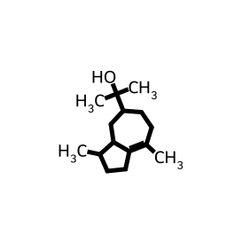 CC1=C2CCC(C)C2CC(C(C)(C)O)CC1